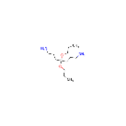 CCCO[Si](CCCN)(CCCN)OCCC